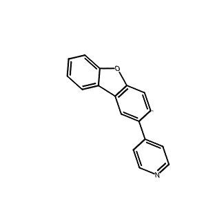 [c]1cc2oc3ccccc3c2cc1-c1ccncc1